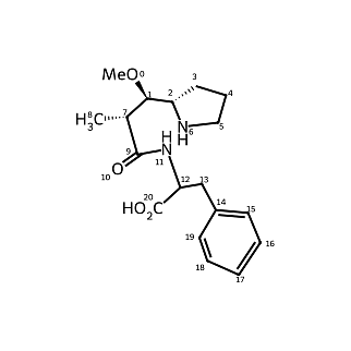 CO[C@@H]([C@@H]1CCCN1)[C@@H](C)C(=O)NC(Cc1ccccc1)C(=O)O